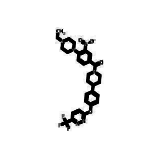 CCN1CCN(c2ccc(C(=O)N3CCC(c4ccc(Oc5ccc(C(F)(F)F)nn5)cc4)CC3)cc2[N+](=O)[O-])CC1